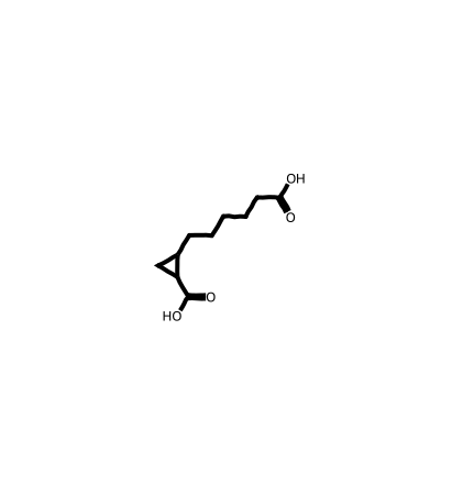 O=C(O)CCCCCC1CC1C(=O)O